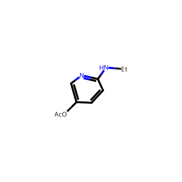 CCNc1ccc(OC(C)=O)cn1